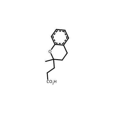 CC1(CCC(=O)O)CCc2ccccc2O1